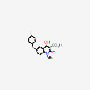 CCCCn1c(=O)c(C(=O)O)c(O)c2cc(Cc3ccc(F)cc3)ccc21